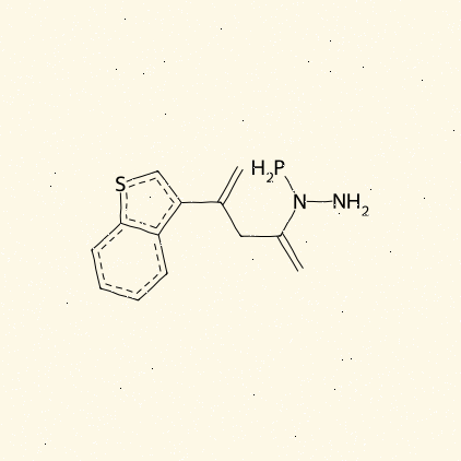 C=C(CC(=C)N(N)P)c1csc2ccccc12